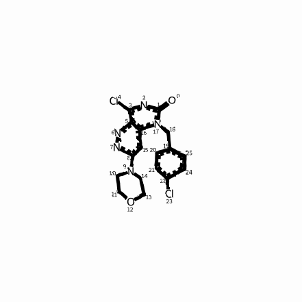 O=c1nc(Cl)c2nnc(N3CCOCC3)cc2n1Cc1ccc(Cl)cc1